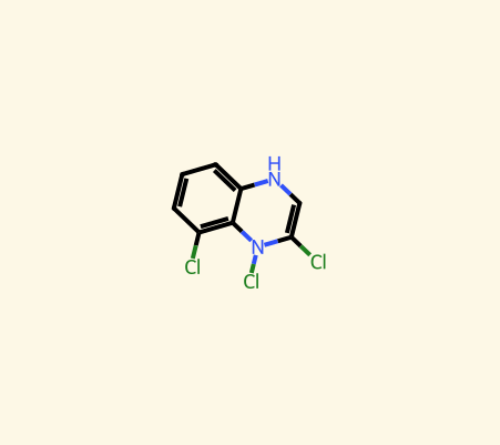 ClC1=CNc2cccc(Cl)c2N1Cl